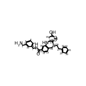 NCc1cccc(CNC(=O)c2ccc3c(c2)N[C@H](CC(=O)O)C(=O)N(CCc2ccccc2)C3)c1